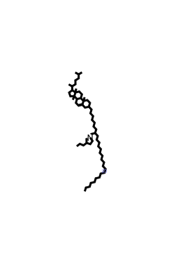 CCCCCCCC/C=C\CCCCCCCCCCC(CCCCCCCC1CCC2(C)C(=CCC3C2CCC2(C)C(C(C)CCCC(C)C)CCC32C)C1)CN1CCC(CCC)C1